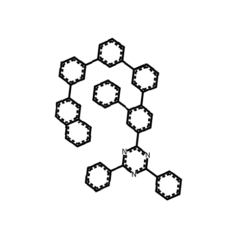 c1ccc(-c2nc(-c3ccccc3)nc(-c3ccc(-c4cccc(-c5cccc(-c6cccc(-c7ccc8ccccc8c7)c6)c5)c4)c(-c4ccccc4)c3)n2)cc1